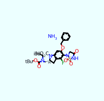 CCC(C)CN(C[C@H]1Cc2c(cc(OCc3ccccc3)c(N3CC(=O)NS3(=O)=O)c2F)N1C(=O)O)C(=O)OC(C)(C)C.N